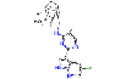 O=C(O)[C@H]1C2CCC(CC2)[C@@H]1CNc1nc(-c2c[nH]c3ncc(F)cc23)ncc1F